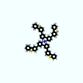 c1ccc2c(c1)sc1ccc(-c3ccc4c(c3)-c3cc(-c5ccc6sc7ccccc7c6c5)ccc3N3B4c4ccc(-c5ccc6sc7ccccc7c6c5)cc4-c4cc(-c5ccc6sc7ccccc7c6c5)ccc43)cc12